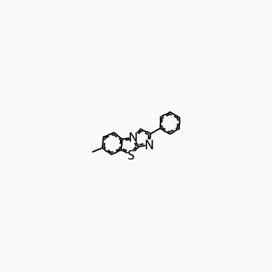 Cc1ccc2c(c1)sc1nc(-c3ccccc3)cn12